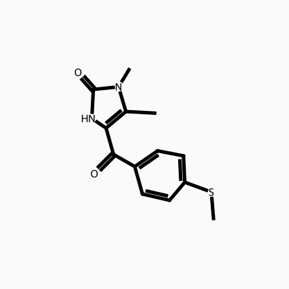 CSc1ccc(C(=O)c2[nH]c(=O)n(C)c2C)cc1